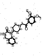 COc1ccc(C(=O)CN2CCC(N3C(=O)NCc4ccccc43)CC2)cc1OC